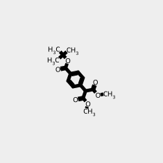 COC(=O)C(C(=O)OC)c1ccc(C(=O)OC(C)(C)C)cc1